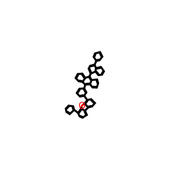 c1ccc(-c2ccc(-c3c4ccccc4c(-c4cccc(-c5cccc6c5oc5c(-c7ccccc7)cccc56)c4)c4ccccc34)c3ccccc23)cc1